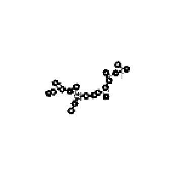 c1ccc(-c2ccc(-c3nc(-c4ccc(-c5ccc6cc(N7c8ccccc8Sc8cc(-c9ccc%10c(c9)c9ccccc9n%10-c9ccc(C%10Nc%11ccccc%11N%10c%10ccccc%10)cc9)ccc87)ccc6c5)cc4)nc(-n4c5ccccc5c5cc(-c6ccc7c(c6)Sc6ccccc6N7c6ccc7ccccc7c6)ccc54)n3)cc2)cc1